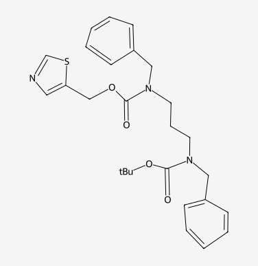 CC(C)(C)OC(=O)N(CCCN(Cc1ccccc1)C(=O)OCc1cncs1)Cc1ccccc1